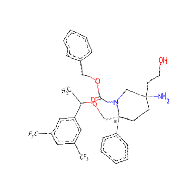 CC(OC[C@@]1(c2ccccc2)CCC(N)(CCO)CN1C(=O)OCc1ccccc1)c1cc(C(F)(F)F)cc(C(F)(F)F)c1